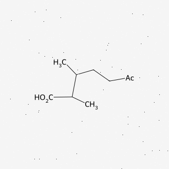 CC(=O)CCC(C)C(C)C(=O)O